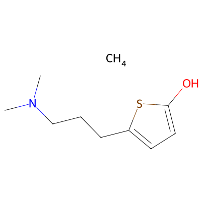 C.CN(C)CCCc1ccc(O)s1